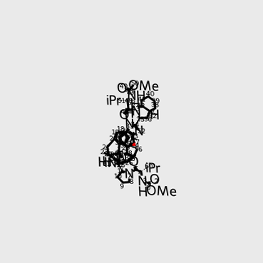 COC(=O)N[C@H](C(=O)N1CCC[C@H]1c1nc(-c2cc3ccc2C[C@@H](C)c2ccc(c(-c4ccc5[nH]c([C@@H]6C[C@@H]7CCCC[C@@H]7N6C(=O)[C@@H](NC(=O)OC)C(C)C)nc5c4)c2)CC3)c[nH]1)C(C)C